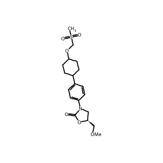 COC[C@@H]1CN(c2ccc(C3CCC(OCS(C)(=O)=O)CC3)cc2)C(=O)O1